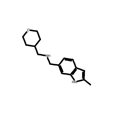 Cc1cc2ccc(CNCC3CCOCC3)cc2[nH]1